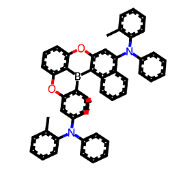 Cc1ccccc1N(c1ccccc1)c1cc2c(c3ccccc13)B1c3c(cccc3Oc3cc(N(c4ccccc4)c4ccccc4C)c4ccccc4c31)O2